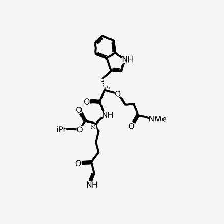 CNC(=O)CCO[C@@H](Cc1c[nH]c2ccccc12)C(=O)N[C@@H](CCCC(=O)C=N)C(=O)OC(C)C